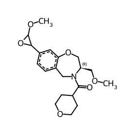 COC[C@@H]1COc2cc(C3OC3OC)ccc2CN1C(=O)C1CCOCC1